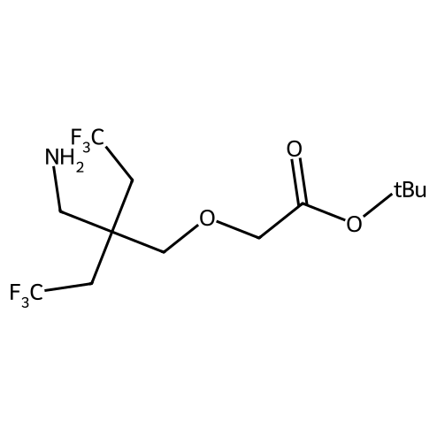 CC(C)(C)OC(=O)COCC(CN)(CC(F)(F)F)CC(F)(F)F